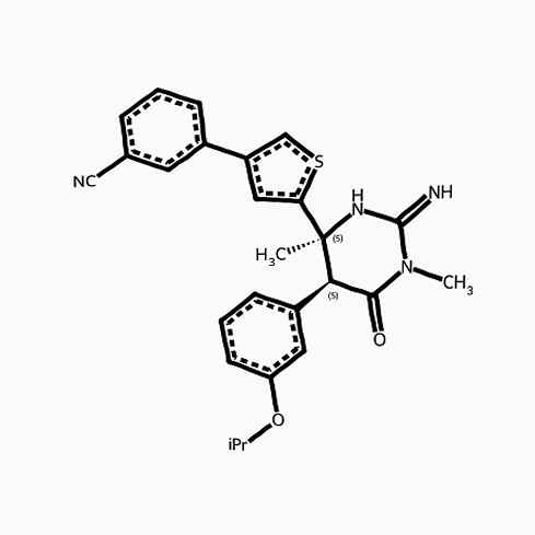 CC(C)Oc1cccc([C@@H]2C(=O)N(C)C(=N)N[C@]2(C)c2cc(-c3cccc(C#N)c3)cs2)c1